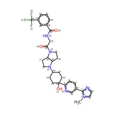 Cn1ccnc1-c1ccc(C2(O)CCC(N3CCC4C3CCN4C(=O)CNC(=O)c3cccc(C(F)(F)F)c3)CC2)nc1